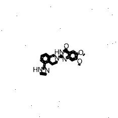 COc1cc2nc(N3CCc4c(cccc4-c4ncc[nH]4)C3)[nH]c(=O)c2cc1OC